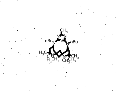 CCCCN1c2nc(C)nc(n2)N(CCCC)C2CC(C)(C)N(C)C3(C2)CC2(CC1CC(C)(C)N2C)C3